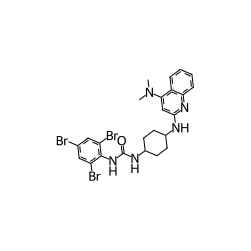 CN(C)c1cc(NC2CCC(NC(=O)Nc3c(Br)cc(Br)cc3Br)CC2)nc2ccccc12